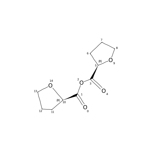 O=C(OC(=O)[C@H]1CCCO1)[C@H]1CCCO1